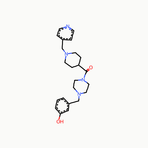 O=C(C1CCN(Cc2ccncc2)CC1)N1CCN(Cc2cccc(O)c2)CC1